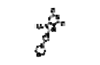 Cn1c(N2CC(N3CCOCC3)C2)nc2c(Cl)nc(Cl)cc21